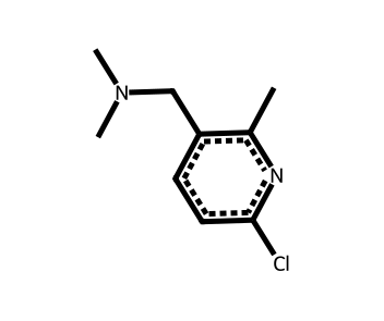 Cc1nc(Cl)ccc1CN(C)C